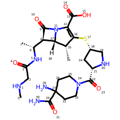 CNCC(=O)N[C@H](C)[C@H]1C(=O)N2C(C(=O)O)=C(S[C@@H]3CN[C@H](C(=O)N4CCC(N)(C(N)=O)CC4)C3)[C@H](C)[C@H]12